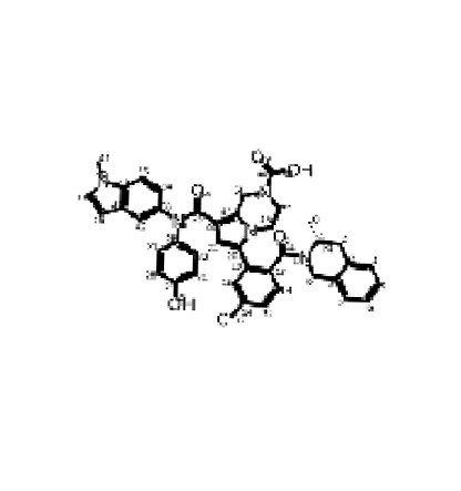 C[C@@H]1Cc2ccccc2CN1C(=O)c1ccc(Cl)cc1-c1cc(C(=O)N(c2ccc(O)cc2)c2ccc3c(ccn3C)c2)c2n1CCN(C(=O)O)C2